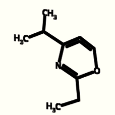 CCC1=NC(C(C)C)=C=CO1